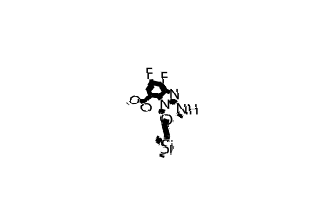 CNc1nc2c(F)c(F)cc(C(=O)OC)c2n1COCC[Si](C)(C)C